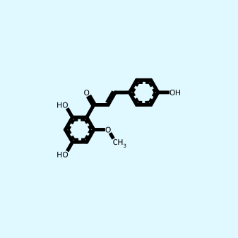 COc1cc(O)cc(O)c1C(=O)C=Cc1ccc(O)cc1